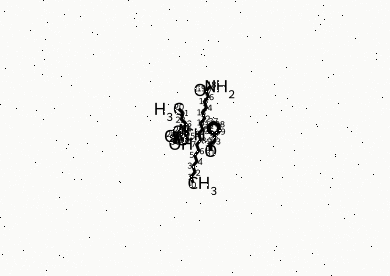 CCCCCCCCCCCCCCCCCC(N)=O.CCCCN(C)OS(=O)(=O)O.O=CCc1ccccc1